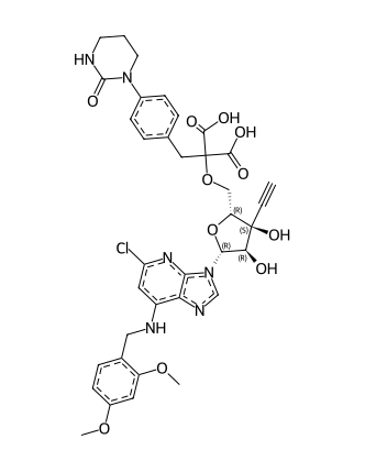 C#C[C@@]1(O)[C@@H](COC(Cc2ccc(N3CCCNC3=O)cc2)(C(=O)O)C(=O)O)O[C@@H](n2cnc3c(NCc4ccc(OC)cc4OC)cc(Cl)nc32)[C@@H]1O